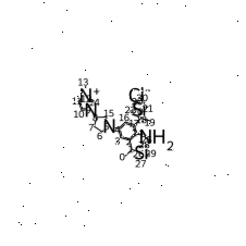 CC(c1cc(N2CCC(n3cc[n+](C)c3)C2)cc(C(C)[Si](C)(C)C)c1N)[Si](C)(C)C.[Cl-]